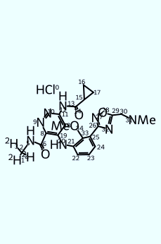 Cl.[2H]C([2H])([2H])NC(=O)c1nnc(NC(=O)C2CC2)cc1Nc1cccc(-c2noc(CNC)n2)c1OC